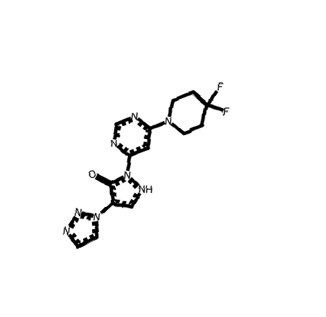 O=c1c(-n2ccnn2)c[nH]n1-c1cc(N2CCC(F)(F)CC2)ncn1